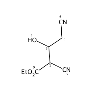 CCOC(=O)C(C#N)C(O)CC#N